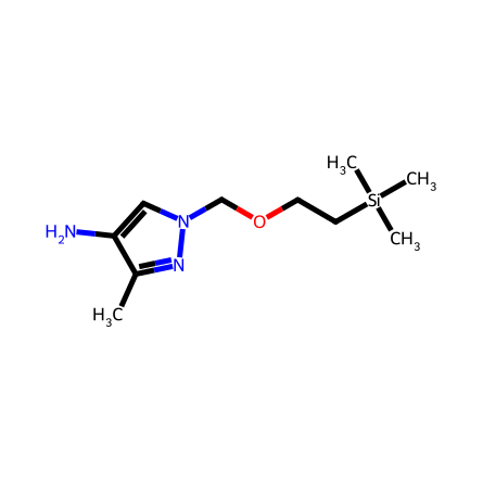 Cc1nn(COCC[Si](C)(C)C)cc1N